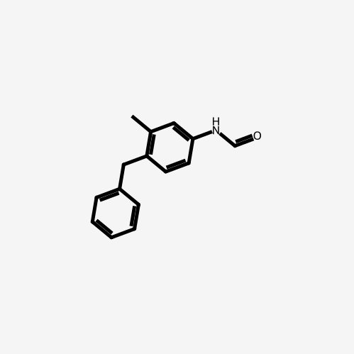 Cc1cc(NC=O)ccc1Cc1ccccc1